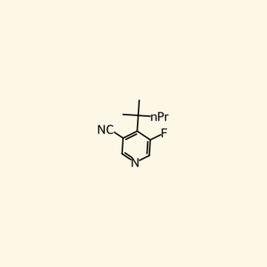 CCCC(C)(C)c1c(F)cncc1C#N